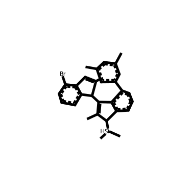 CC1=Cc2c(Br)cccc2C1C1=C(C)C([SiH](C)C)c2cccc(-c3cc(C)cc(C)c3)c21